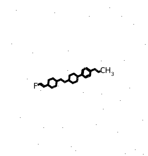 CCCc1ccc(C2CCC(CCC3CCC(C=CF)CC3)CC2)cc1